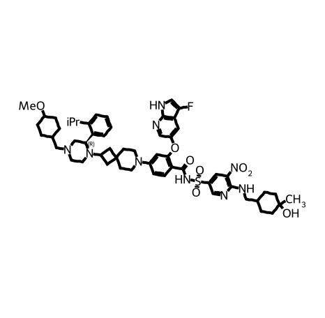 COC1CCC(CN2CCN(C3CC4(CCN(c5ccc(C(=O)NS(=O)(=O)c6cnc(NCC7CCC(C)(O)CC7)c([N+](=O)[O-])c6)c(Oc6cnc7[nH]cc(F)c7c6)c5)CC4)C3)[C@H](c3ccccc3C(C)C)C2)CC1